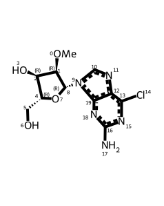 CO[C@@H]1[C@H](O)[C@@H](CO)O[C@H]1n1cnc2c(Cl)nc(N)nc21